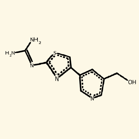 NC(N)=Nc1nc(-c2cncc(CO)c2)cs1